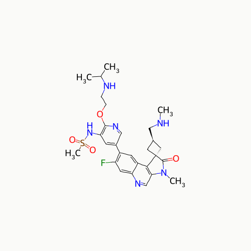 CNC[C@H]1C[C@]2(C1)C(=O)N(C)c1cnc3cc(F)c(-c4cnc(OCCNC(C)C)c(NS(C)(=O)=O)c4)cc3c12